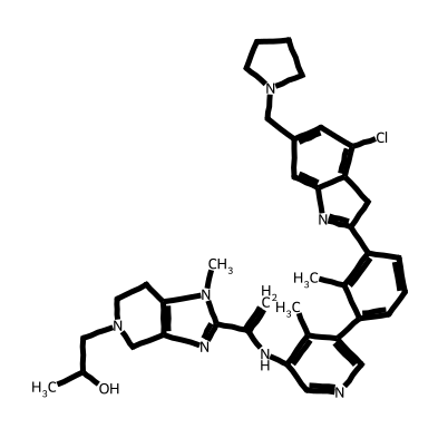 C=C(Nc1cncc(-c2cccc(C3=Nc4cc(CN5CCCC5)cc(Cl)c4C3)c2C)c1C)c1nc2c(n1C)CCN(CC(C)O)C2